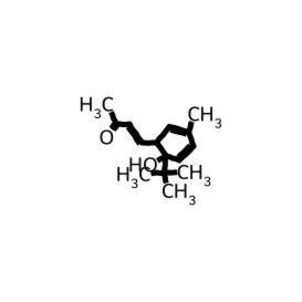 CC(=O)/C=C/C1C=C(C)C=CC1(O)C(C)(C)C